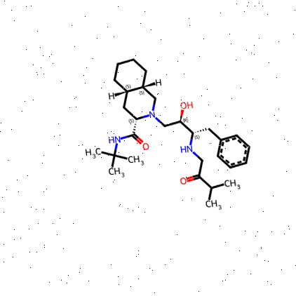 CC(C)C(=O)CN[C@@H](Cc1ccccc1)[C@H](O)CN1C[C@H]2CCCC[C@H]2C[C@H]1C(=O)NC(C)(C)C